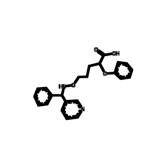 O=C(O)C(CCCONC(c1ccccc1)c1cccnc1)Oc1ccccc1